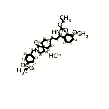 CCOC(=O)NC(CCN1CCC2(CC1)CCN(Cc1ccc(S(C)(=O)=O)cc1)C2=O)c1cccc(OC)c1.Cl